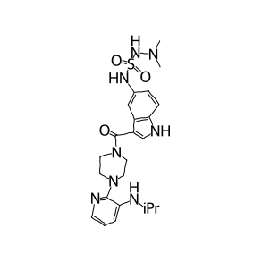 CC(C)Nc1cccnc1N1CCN(C(=O)c2c[nH]c3ccc(NS(=O)(=O)NN(C)C)cc23)CC1